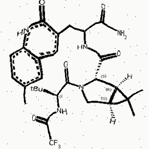 Cc1ccc2[nH]c(=O)c(CC(NC(=O)[C@@H]3[C@@H]4[C@H](CN3C(=O)[C@@H](NC(=O)C(F)(F)F)C(C)(C)C)C4(C)C)C(N)=O)cc2c1